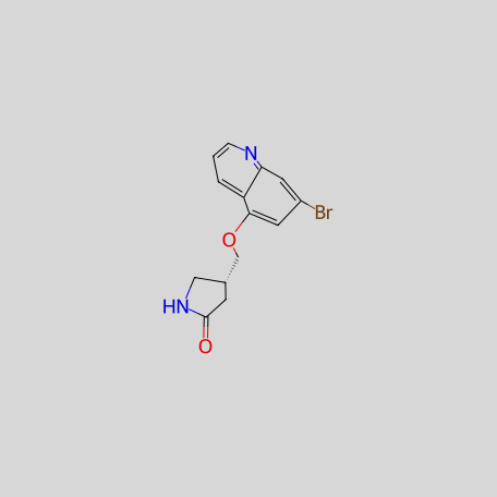 O=C1C[C@@H](COc2cc(Br)cc3ncccc23)CN1